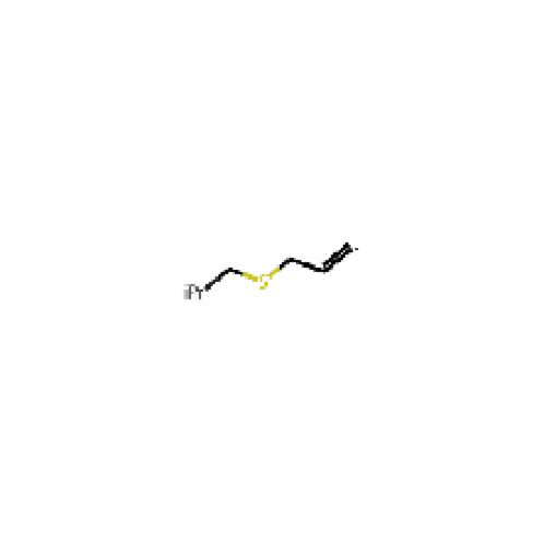 [CH]=CCSCC(C)C